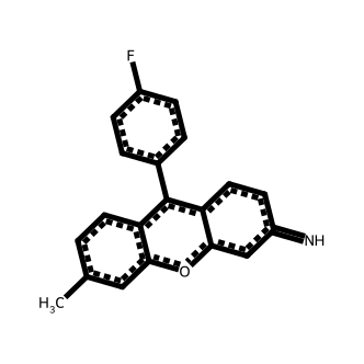 Cc1ccc2c(-c3ccc(F)cc3)c3ccc(=N)cc-3oc2c1